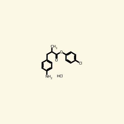 CC(Cc1ccc(N)cc1)C(=O)Oc1ccc(Cl)cc1.Cl